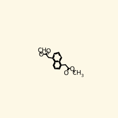 COC(=O)Cc1cccc2c(CC(=O)OC)cccc12